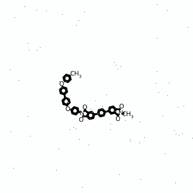 Cc1ccc(Oc2ccc(-c3ccc(Oc4ccc(N5C(=O)c6ccc(-c7ccc(-c8ccc9c(c8)C(=O)N(C)C9=O)cc7)cc6C5=O)cc4)cc3)cc2)cc1